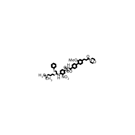 COc1cc(CCC(=O)N2CCOCC2)ccc1-c1ccc(C(=O)NS(=O)(=O)c2ccc(N[C@H](CCCCN(C)C)CSc3ccccc3)c([N+](=O)[O-])c2)cc1